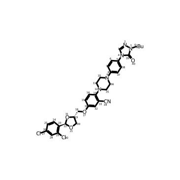 CCC(C)n1ncn(-c2ccc(N3CCN(c4ccc(OC[C@@H]5CO[C@@H](c6ccc(Cl)cc6Cl)O5)cc4C#N)CC3)cc2)c1=O